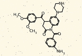 COc1ccc(C(=O)C2CC(=O)N(C(=O)c3cccc(N)c3)c3ccc(N4CCNCC4)cc32)cc1OC